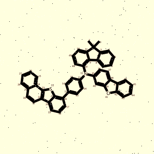 CC1(C)c2ccccc2-c2c(N(c3ccc(-c4cccc5c4sc4c6ccccc6ccc54)cc3)c3ccc4c(c3)oc3ccccc34)cccc21